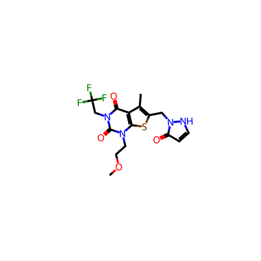 COCCn1c(=O)n(CC(F)(F)F)c(=O)c2c(C)c(Cn3[nH]ccc3=O)sc21